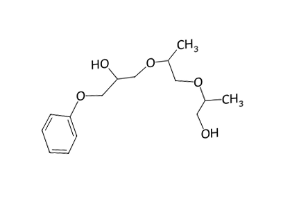 CC(CO)OCC(C)OCC(O)COc1ccccc1